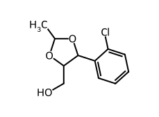 CC1OC(CO)C(c2ccccc2Cl)O1